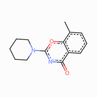 Cc1cccc2c(=O)nc(N3CCCCC3)oc12